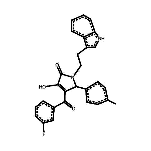 Cc1ccc(C2C(C(=O)c3cccc(F)c3)=C(O)C(=O)N2CCc2c[nH]c3ccccc23)cc1